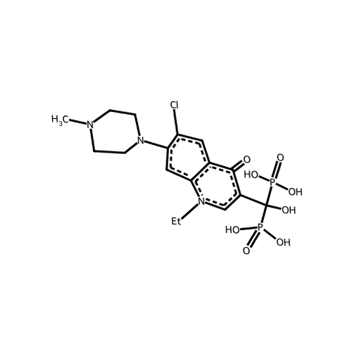 CCn1cc(C(O)(P(=O)(O)O)P(=O)(O)O)c(=O)c2cc(Cl)c(N3CCN(C)CC3)cc21